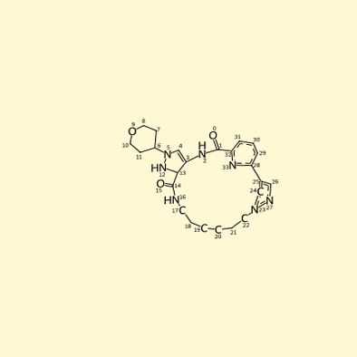 O=C1NC2=CN(C3CCOCC3)NC2C(=O)NCCCCCCn2cc(cn2)-c2cccc1n2